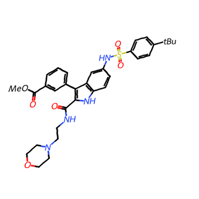 COC(=O)c1cccc(-c2c(C(=O)NCCN3CCOCC3)[nH]c3ccc(NS(=O)(=O)c4ccc(C(C)(C)C)cc4)cc23)c1